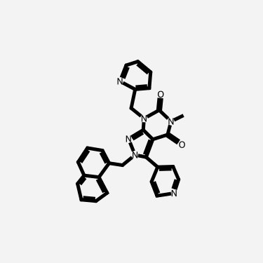 Cn1c(=O)c2c(-c3ccncc3)n(Cc3cccc4ccccc34)nc2n(Cc2ccccn2)c1=O